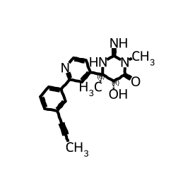 CC#Cc1cccc(-c2cc([C@@]3(C)NC(=N)N(C)C(=O)[C@@H]3O)ccn2)c1